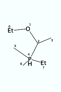 CCOC(C)[PH](C)(C)CC